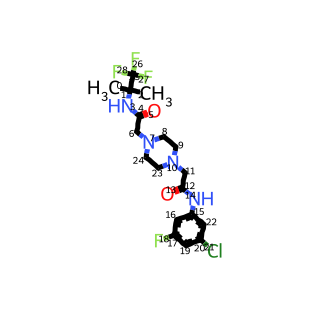 CC(C)(NC(=O)CN1CCN(CC(=O)Nc2cc(F)cc(Cl)c2)CC1)C(F)(F)F